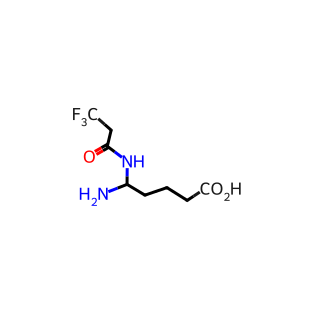 NC(CCCC(=O)O)NC(=O)CC(F)(F)F